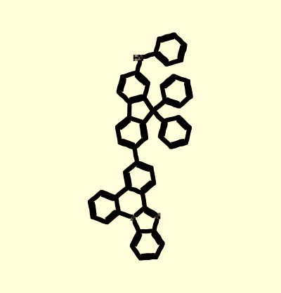 c1ccc(Nc2ccc3c(c2)C(c2ccccc2)(c2ccccc2)c2cc(-c4ccc5c(c4)c4ccccc4n4c6ccccc6nc54)ccc2-3)cc1